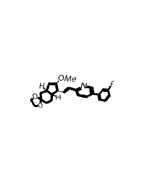 CO[C@H]1C[C@@H]2CC3(CC[C@H]2[C@@H]1/C=C/c1ccc(-c2cccc(F)c2)cn1)OCCO3